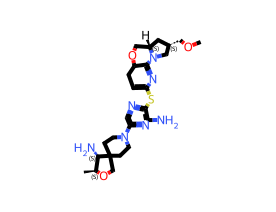 COC[C@H]1C[C@H]2COC3CC=C(Sc4ncc(N5CCC6(CC5)CO[C@@H](C)[C@H]6N)nc4N)N=C3N2C1